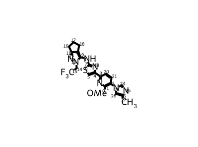 COc1nc(-c2csc(Nc3c4c(nn3CC(F)(F)F)CCC4)n2)ccc1-n1cnc(C)c1